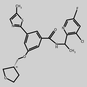 Cc1cnc(-c2cc(OC[C@@H]3CCOC3)cc(C(=O)NC(C)c3ncc(F)cc3Cl)c2)s1